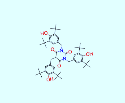 CC(C)(C)c1cc(CC2C(=O)N(Cc3cc(C(C)(C)C)c(O)c(C(C)(C)C)c3)C(=O)N(Cc3cc(C(C)(C)C)c(O)c(C(C)(C)C)c3)C2=O)cc(C(C)(C)C)c1O